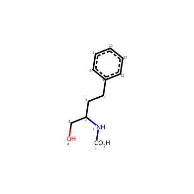 O=C(O)NC(CO)CCc1ccccc1